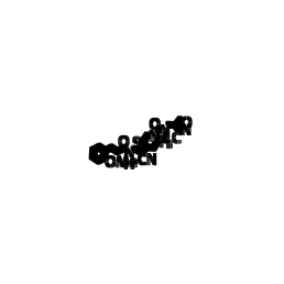 COc1ccccc1CCC(=O)Nc1sc2c(c1C#N)CCN(C(=O)NCc1conc1C)C2